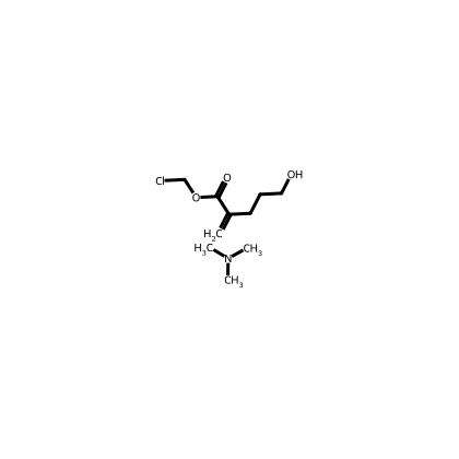 C=C(CCCO)C(=O)OCCl.CN(C)C